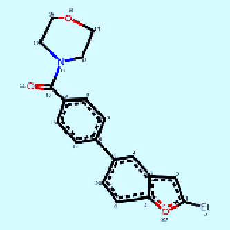 [CH2]Cc1cc2cc(-c3ccc(C(=O)N4CCOCC4)cc3)ccc2o1